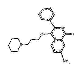 Nc1ccc2c(OCCCN3CCCCC3)c(-c3ccccc3)[nH]c(=O)c2c1